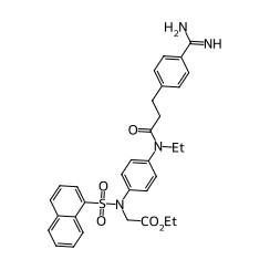 CCOC(=O)CN(c1ccc(N(CC)C(=O)CCc2ccc(C(=N)N)cc2)cc1)S(=O)(=O)c1cccc2ccccc12